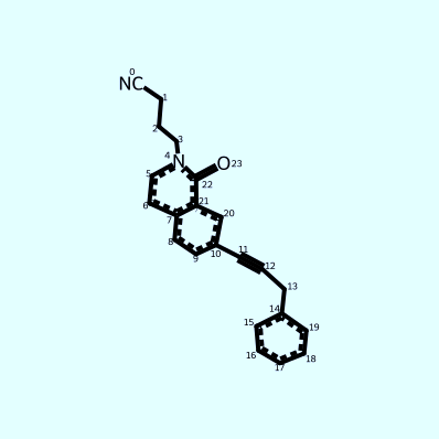 N#CCCCn1ccc2ccc(C#CCc3ccccc3)cc2c1=O